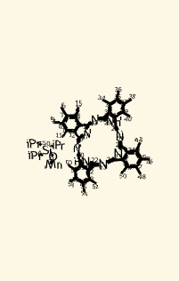 CC(C)[Si]([O][Mn])(C(C)C)C(C)C.Cc1c(C)c(C)c2c(c1C)-c1nc-2nc2[nH]c(nc3nc(nc4[nH]c(n1)c1c(C)c(C)c(C)c(C)c41)-c1c(C)c(C)c(C)c(C)c1-3)c1c(C)c(C)c(C)c(C)c21